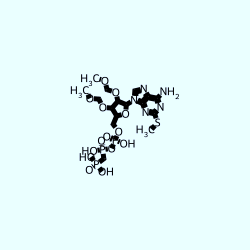 COCOC1C(COP(=O)(O)OP(=O)(O)CP(=O)(O)O)OC(n2cnc3c(N)nc(SC)nc32)C1OCOC